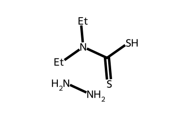 CCN(CC)C(=S)S.NN